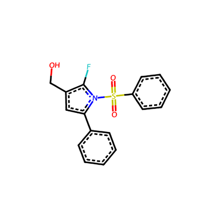 O=S(=O)(c1ccccc1)n1c(-c2ccccc2)cc(CO)c1F